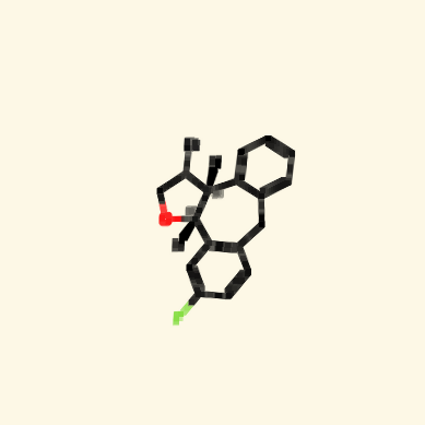 CCC1CO[C@H]2c3cc(F)ccc3Cc3ccccc3[C@@H]12